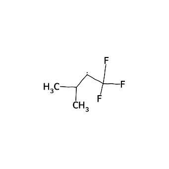 CC(C)[CH]C(F)(F)F